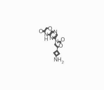 N[C@H]1C[C@@H](C2CN(c3cnc4c(n3)NC(=O)CO4)C(=O)O2)C1